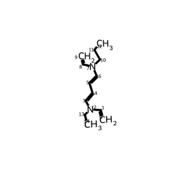 C=CN(/C=C/C=C/N(C=C)CCC)CC